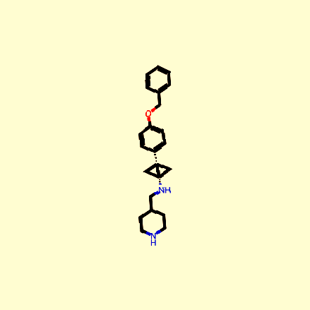 c1ccc(COc2ccc([C@]34C[C@@]3(NCC3CCNCC3)C4)cc2)cc1